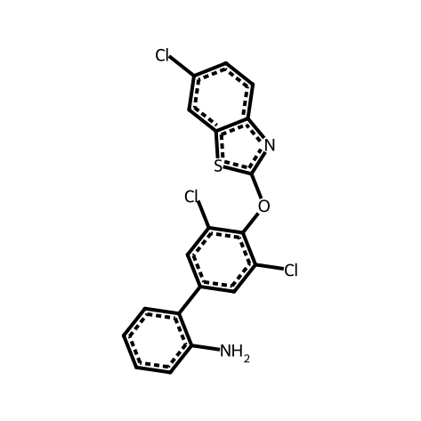 Nc1ccccc1-c1cc(Cl)c(Oc2nc3ccc(Cl)cc3s2)c(Cl)c1